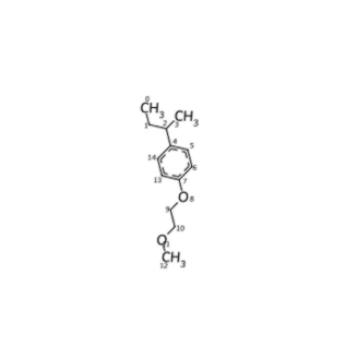 CCC(C)c1ccc(OCCOC)cc1